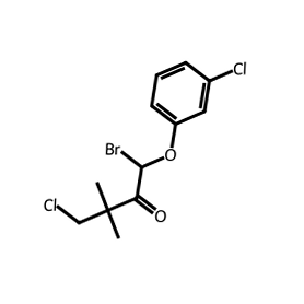 CC(C)(CCl)C(=O)C(Br)Oc1cccc(Cl)c1